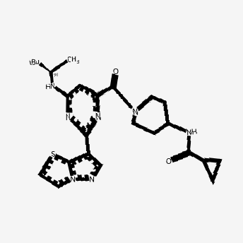 C[C@@H](Nc1cc(C(=O)N2CCC(NC(=O)C3CC3)CC2)nc(-c2cnn3ccsc23)n1)C(C)(C)C